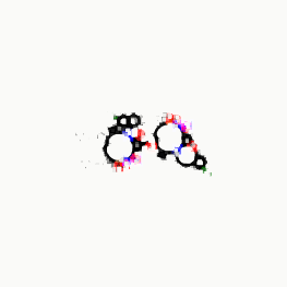 CC[C@@H]1[C@H](OC)C/C=C/C(OCc2cc3cc4c2OC[C@]2(CCCc5cc(Cl)ccc52)CN4CC2CCC2C(OC)/C=C/C[C@H](OC)[C@H](CC)S(=O)(=O)NC3=O)C2CCC2CN2CCCCc3cc(Cl)ccc3COc3ccc(cc32)C(=O)NS1(=O)=O